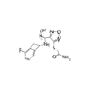 NC(=O)CSc1nonc1/C(=N\O)NC1Cc2c(F)cccc21